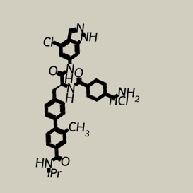 Cc1cc(C(=O)NC(C)C)ccc1-c1ccc(C[C@H](NC(=O)C2CCC(CN)CC2)C(=O)Nc2cc(Cl)c3cn[nH]c3c2)cc1.Cl